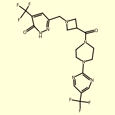 O=C(C1CN(Cc2cc(C(F)(F)F)c(=O)[nH]n2)C1)N1CCN(c2ncc(C(F)(F)F)cn2)CC1